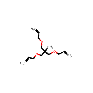 C=CCOCC(C)(COCC=C)COCC=C